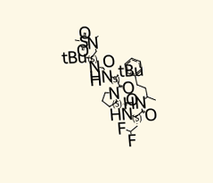 CC(CCc1ccccc1)NC(=O)[C@H](CC(F)F)NC(=O)[C@@H]1CCCN1C(=O)[C@@H](NC(=O)N[C@H](CN(C)S(C)(=O)=O)C(C)(C)C)C(C)(C)C